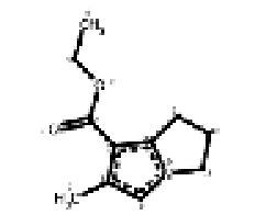 CCOC(=O)c1c(C)cn2c1CCC2